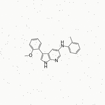 COc1ccccc1-c1c[nH]c2ncc(Nc3ccccc3C)cc12